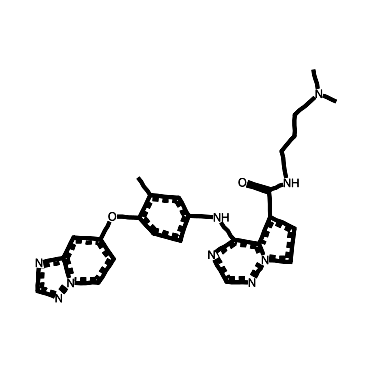 Cc1cc(Nc2ncnn3ccc(C(=O)NCCCN(C)C)c23)ccc1Oc1ccn2ncnc2c1